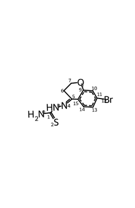 NC(=S)NN=C1CCOc2cc(Br)ccc21